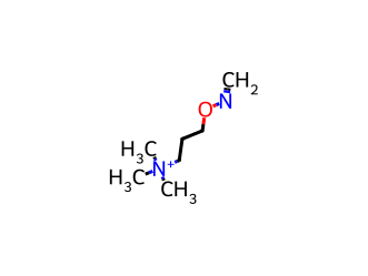 C=NOCCC[N+](C)(C)C